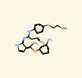 C=CCC(/N=C1/NC=C/C1=C(/C)Oc1cccc(N)c1)Nc1ccc(OCCOC)cc1